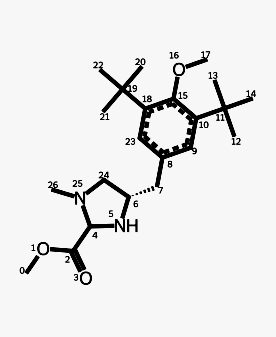 COC(=O)C1N[C@@H](Cc2cc(C(C)(C)C)c(OC)c(C(C)(C)C)c2)CN1C